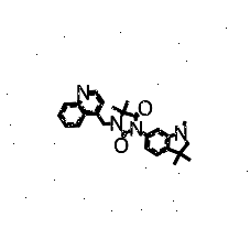 CN1CC(C)(C)c2ccc(N3C(=O)N(Cc4ccnc5ccccc45)C(C)(C)C3=O)cc21